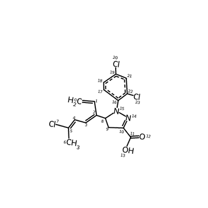 C=C/C(=C\C=C(/C)Cl)C1CC(C(=O)O)=NN1c1ccc(Cl)cc1Cl